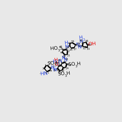 [NH]c1ccc(S(=O)(=O)O)c(N=Nc2c(S(=O)(=O)O)cc3cc(S(=O)(=O)O)c(N=Nc4ccc(Nc5ccc(N=Nc6ccc(O)cc6N)cc5)c(S(=O)(=O)O)c4)c(N)c3c2O)c1